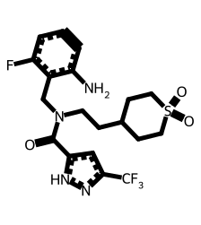 Nc1c#ccc(F)c1CN(CCC1CCS(=O)(=O)CC1)C(=O)c1cc(C(F)(F)F)n[nH]1